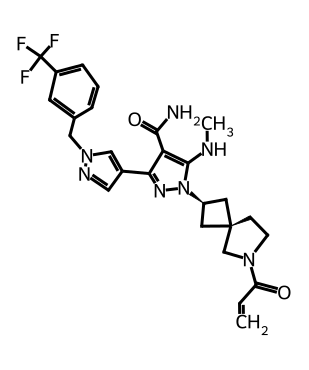 C=CC(=O)N1CC[C@]2(C1)C[C@H](n1nc(-c3cnn(Cc4cccc(C(F)(F)F)c4)c3)c(C(N)=O)c1NC)C2